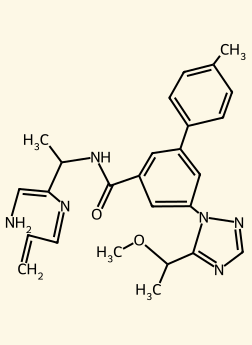 C=C/C=N\C(=C/N)C(C)NC(=O)c1cc(-c2ccc(C)cc2)cc(-n2ncnc2C(C)OC)c1